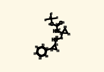 CC(C)(C)OC(=O)NC1(CNC2CC2c2ccccc2)CC1